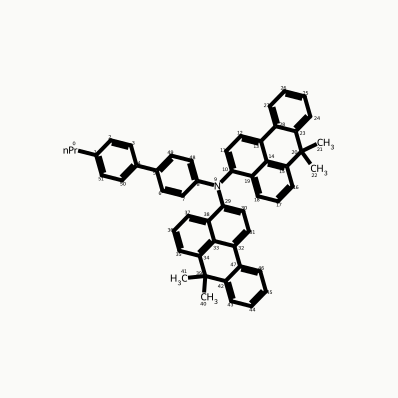 CCCc1ccc(-c2ccc(N(c3ccc4c5c(cccc35)C(C)(C)c3ccccc3-4)c3ccc4c5c(cccc35)C(C)(C)c3ccccc3-4)cc2)cc1